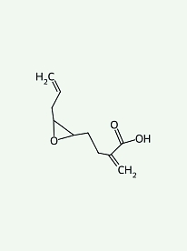 C=CCC1OC1CCC(=C)C(=O)O